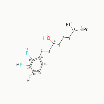 CCCC(CC)CCCC(O)CCc1ccc(F)c(F)c1F